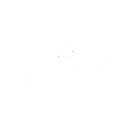 Cc1cc(OC[C@@H]2CN(S(=O)(=O)c3c(C(N)=O)[nH]c4ccc(Cl)cc34)CCO2)ccc1-c1ccc(F)nc1